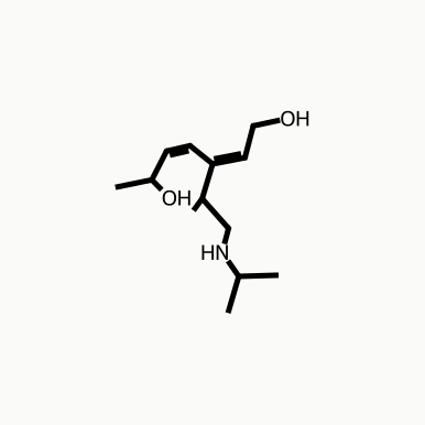 CC(O)/C=C\C(=C/CO)C(C)CNC(C)C